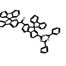 O=C(c1ccc2c(c1)C1(c3ccccc3-c3ccccc31)c1ccccc1-2)c1ccc2c(c1)C1(c3ccccc3-c3ccccc31)c1cc(-c3nc(-c4ccccc4)nc(-c4ccccc4)n3)ccc1-2